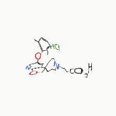 Cc1cccc(C)c1Oc1cnc2c(c1)C1(CCN(CCC(=O)O)CC1)CO2.Cl